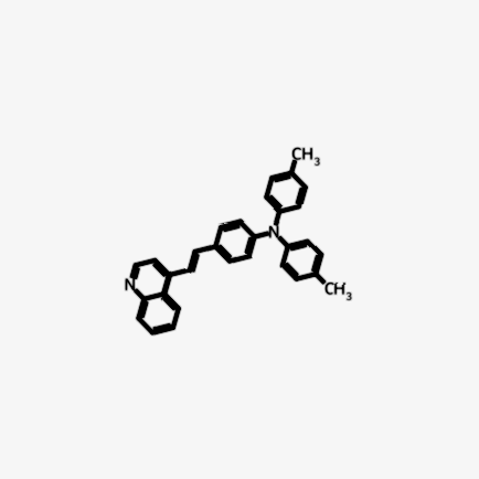 Cc1ccc(N(c2ccc(C)cc2)c2ccc(C=Cc3ccnc4ccccc34)cc2)cc1